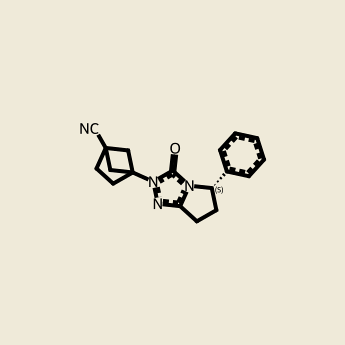 N#CC12CCC(n3nc4n(c3=O)[C@H](c3ccccc3)CC4)(C1)C2